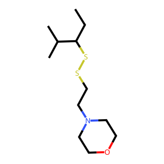 CCC(SSCCN1CCOCC1)C(C)C